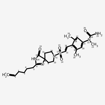 C=CCCCCC1=NC2(CCN(S(=O)(=O)C=Cc3c(C)cc(N(C)C(N)=O)cc3C)CC2)C(=O)N1